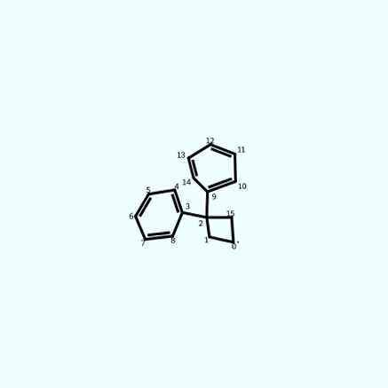 [CH]1CC(c2ccccc2)(c2ccccc2)C1